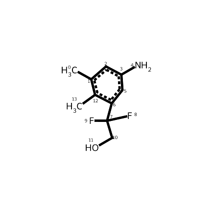 Cc1cc(N)cc(C(F)(F)CO)c1C